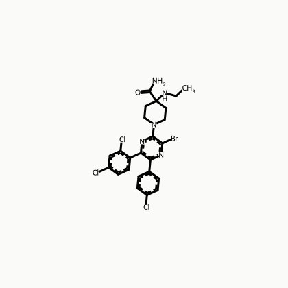 CCNC1(C(N)=O)CCN(c2nc(-c3ccc(Cl)cc3Cl)c(-c3ccc(Cl)cc3)nc2Br)CC1